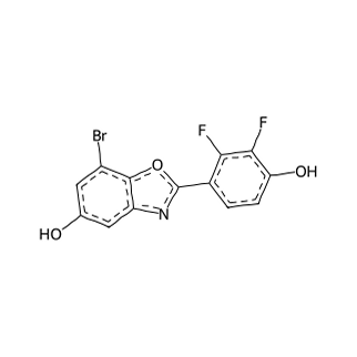 Oc1cc(Br)c2oc(-c3ccc(O)c(F)c3F)nc2c1